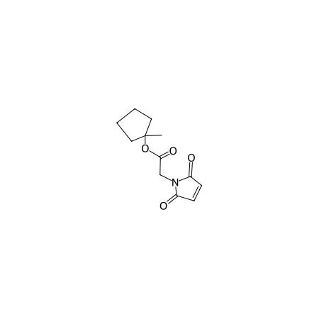 CC1(OC(=O)CN2C(=O)C=CC2=O)CCCC1